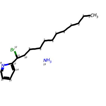 CCCCCCCCCCCC(Br)c1ccccn1.N